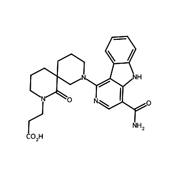 NC(=O)c1cnc(N2CCCC3(CCCN(CCC(=O)O)C3=O)C2)c2c1[nH]c1ccccc12